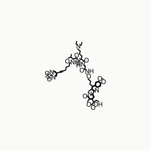 CCN(CC)CCCCC(NC(=O)C(NC(=O)CCCC#Cc1cnc(S(C)(=O)=O)nc1)C(C)C)C(=O)NCC(=O)NCOCCCc1c2c(nc3cc4c(cc13)OCO4)-c1cc3c(c(=O)n1C2)COC(=O)[C@]3(O)CC